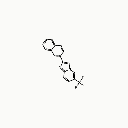 FC(F)(F)c1ccc2nc(-c3ccc4ccccc4c3)cn2c1